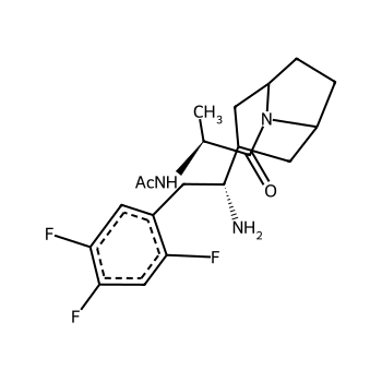 CC(=O)N[C@@H](C)C(=O)N1C2CCC1CC([C@H](N)Cc1cc(F)c(F)cc1F)C2